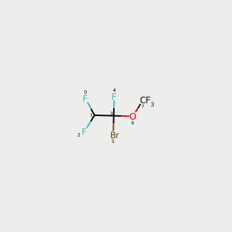 FC(F)C(F)(Br)OC(F)(F)F